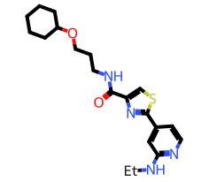 CCNc1cc(-c2nc(C(=O)NCCCOC3CCCCC3)cs2)ccn1